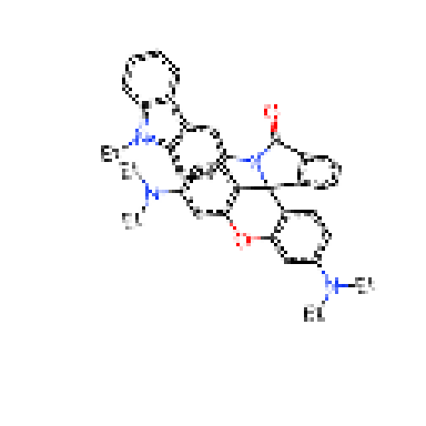 CCN(CC)c1ccc2c(c1)Oc1cc(N(CC)CC)ccc1C21c2ccccc2C(=O)N1c1ccc2c(c1)c1ccccc1n2CC